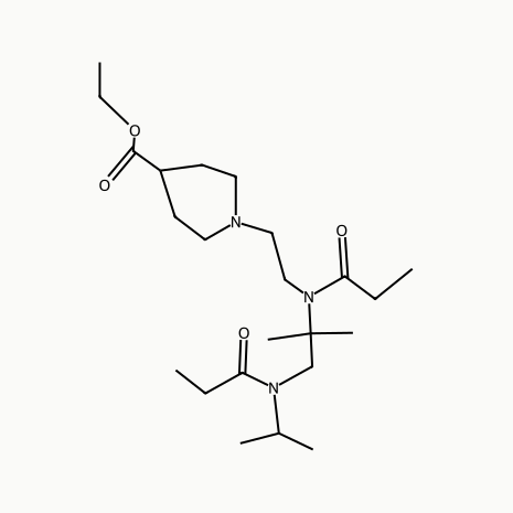 CCOC(=O)C1CCN(CCN(C(=O)CC)C(C)(C)CN(C(=O)CC)C(C)C)CC1